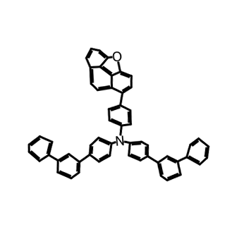 c1ccc(-c2cccc(-c3ccc(N(c4ccc(-c5cccc(-c6ccccc6)c5)cc4)c4ccc(-c5ccc6oc7cccc8ccc5c6c87)cc4)cc3)c2)cc1